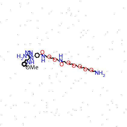 COc1cccc2cc(-c3nc([C@H]4CC[C@H](C(=O)NCCOCCOCCNC(=O)CCOCCOCCOCCOCCOCCN)CC4)n4ncnc(N)c34)[nH]c12